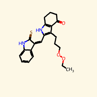 CCOOCCCc1c(C=C2C(=S)Nc3ccccc32)[nH]c2c1C(=O)CCC2